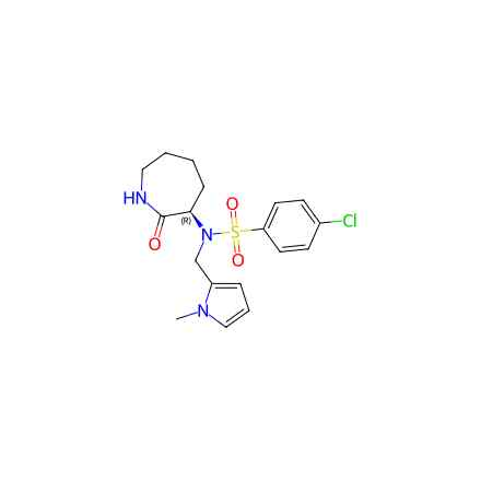 Cn1cccc1CN([C@@H]1CCCCNC1=O)S(=O)(=O)c1ccc(Cl)cc1